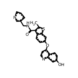 Cc1sc2cc(Oc3ccnc4cc(O)ccc34)ccc2c1C(=O)NCc1cccnc1